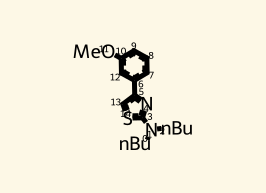 CCCCN(CCCC)c1nc(-c2cccc(OC)c2)cs1